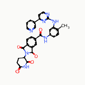 Cc1ccc(NC(=O)c2ccc3c(c2)C(=O)N(C2CCC(=O)NC2=O)C3=O)cc1Nc1nccc(-c2cccnc2)n1